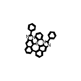 c1ccc(-c2nc3cc4cccc5c4c4c3n2-c2cccc3c2B4c2c4c-5cccc4cc4nc(-c5ccccc5)n-3c24)cc1